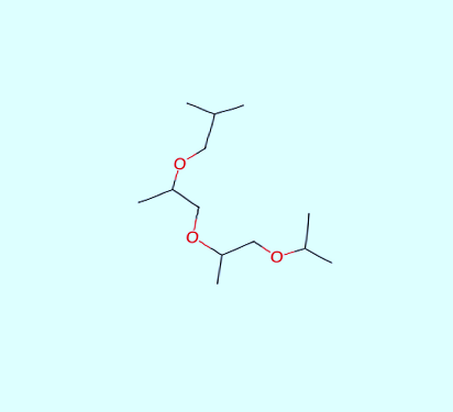 CC(C)COC(C)COC(C)COC(C)C